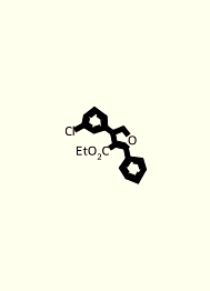 CCOC(=O)C1=C(c2ccccc2)OCC1c1cccc(Cl)c1